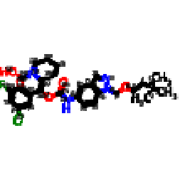 C[Si](C)(C)CCOCn1ncc2cc(NC(=O)O[C@@H](c3cc(F)cc(Cl)c3)[C@@H]3CCCCN3C(=O)O)ccc21